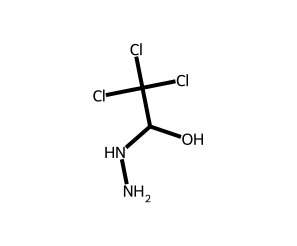 NNC(O)C(Cl)(Cl)Cl